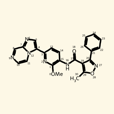 COc1nc(-c2cnc3cnccn23)ccc1NC(=O)c1c(-c2ccccc2)noc1C